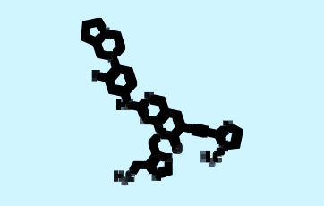 CCc1ncsc1Cn1c(=O)c(C#Cc2nccn2C)cc2cnc(Nc3ccc(N4CCN5CCCC5C4)c(F)c3)nc21